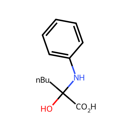 CCCCC(O)(Nc1ccccc1)C(=O)O